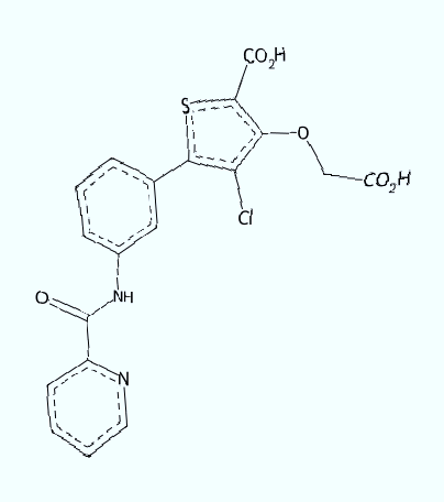 O=C(O)COc1c(C(=O)O)sc(-c2cccc(NC(=O)c3ccccn3)c2)c1Cl